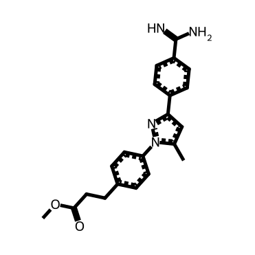 COC(=O)CCc1ccc(-n2nc(-c3ccc(C(=N)N)cc3)cc2C)cc1